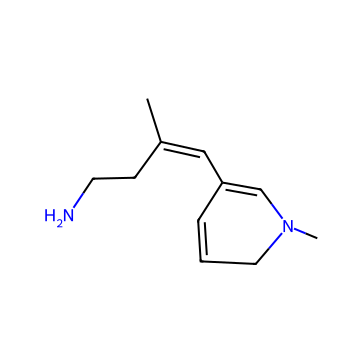 C/C(=C/C1=CN(C)CC=C1)CCN